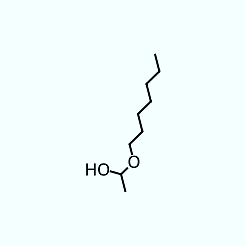 CCCCCCCOC(C)O